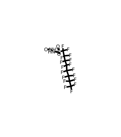 O=S(=O)(N[NH2+][O-])C(F)(F)C(F)(F)C(F)(F)C(F)(F)C(F)(F)C(F)(F)C(F)(F)C(F)(F)F